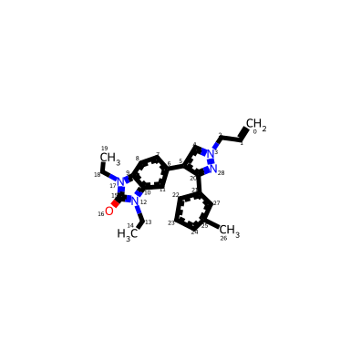 C=CCn1cc(-c2ccc3c(c2)n(CC)c(=O)n3CC)c(-c2cccc(C)c2)n1